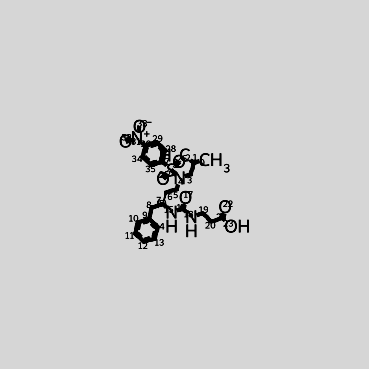 CC(C)CN(CC[C@H](Cc1ccccc1)NC(=O)NCCC(=O)O)S(=O)(=O)c1ccc([N+](=O)[O-])cc1